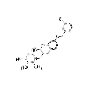 CC1=C(O)C(O)C=CN1CC1=Cc2ccc(OCc3cccc(Cl)c3)cc2OC1O